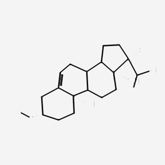 CC(=O)[C@@]1(C(Cl)Cl)CCC2C3CC=C4C[C@@H](CO)CC[C@]4(C)C3CC[C@@]21C